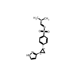 CN(C)C=NS(=O)(=O)c1ccc([C@@H]2C[C@H]2c2cc[nH]n2)cc1